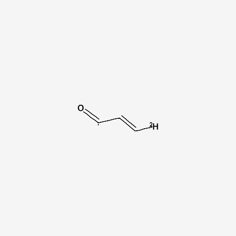 [2H]C=C[C]=O